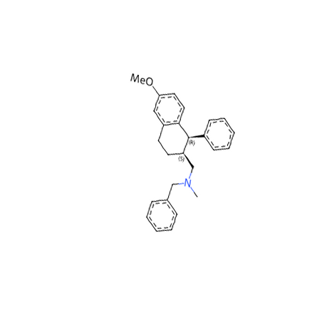 COc1ccc2c(c1)CC[C@H](CN(C)Cc1ccccc1)[C@@H]2c1ccccc1